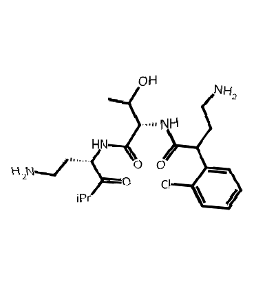 CC(C)C(=O)[C@H](CCN)NC(=O)[C@@H](NC(=O)C(CCN)c1ccccc1Cl)C(C)O